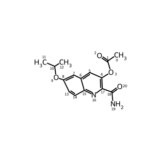 CC(=O)Oc1cc2cc(OC(C)C)ccc2nc1C(N)=O